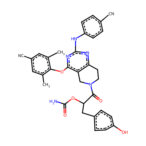 Cc1cc(C#N)cc(C)c1Oc1nc(Nc2ccc(C#N)cc2)nc2c1CN(C(=O)C(Cc1ccc(O)cc1)OC(N)=O)CC2